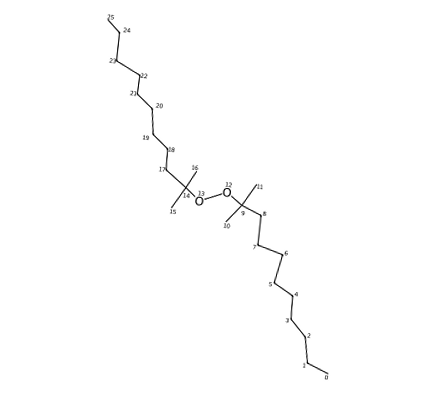 CCCCCCCCCC(C)(C)OOC(C)(C)CCCCCCCCC